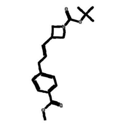 COC(=O)c1ccc(C/C=C/C2CN(C(=O)OC(C)(C)C)C2)cc1